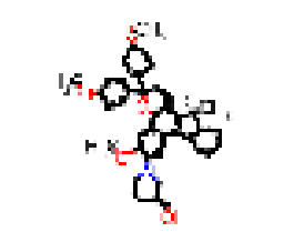 COc1ccc(C2(c3ccc(OC)cc3)C=Cc3c4c(c5cc(N6CCCC(=CO)C6)c(OC)cc5c3O2)-c2ccccc2C4(C)C)cc1